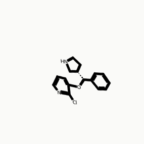 Clc1ncccc1OC(c1ccccc1)[C@H]1CCNC1